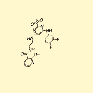 COc1ncccc1C(=O)NCCNc1cc(Nc2ccc(F)c(F)c2)nc(S(C)(=O)=O)n1